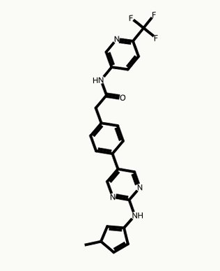 CC1C=CC(Nc2ncc(-c3ccc(CC(=O)Nc4ccc(C(F)(F)F)nc4)cc3)cn2)=C1